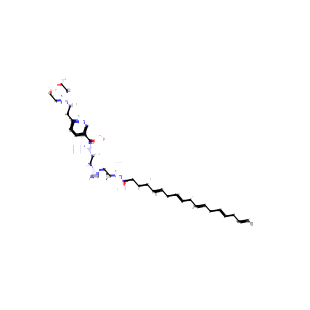 CCC=CCC=CCC=CCC=CCC=CCCCC(=O)NCCN(C)CCNC(=O)c1ccc(CCN2CCOCC2)nc1